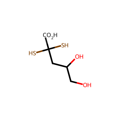 O=C(O)C(S)(S)CC(O)CO